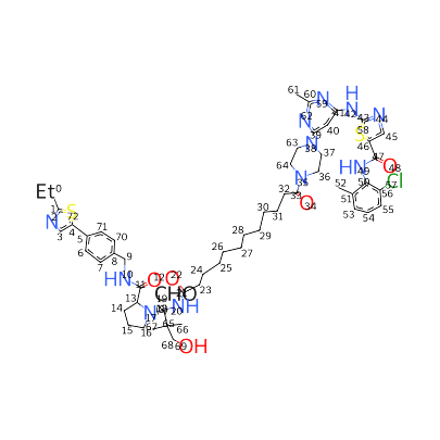 CCc1ncc(-c2ccc(CNC(=O)C3CCCN3[C@@](C=O)(NC(=O)CCCCCCCCCCC(=O)N3CCN(c4cc(Nc5ncc(C(=O)Nc6c(C)cccc6Cl)s5)nc(C)n4)CC3)C(C)(C)CO)cc2)s1